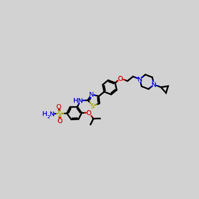 CC(C)Oc1ccc(S(N)(=O)=O)cc1Nc1nc(-c2ccc(OCCN3CCN(C4CC4)CC3)cc2)cs1